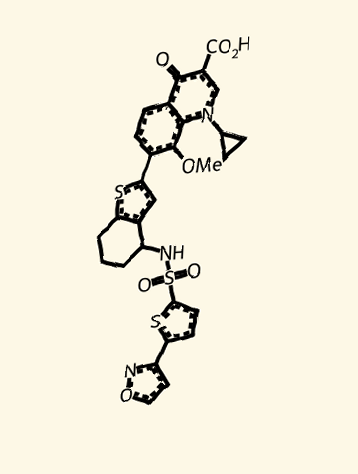 COc1c(-c2cc3c(s2)CCCC3NS(=O)(=O)c2ccc(-c3ccon3)s2)ccc2c(=O)c(C(=O)O)cn(C3CC3)c12